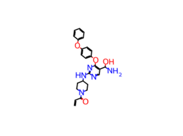 C=CC(=O)N1CCC(Nc2ncc(C(N)O)c(Oc3ccc(Oc4ccccc4)cc3)n2)CC1